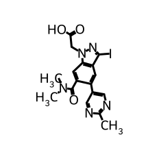 Cc1ncc(-c2cc3c(I)nn(CC(=O)O)c3cc2C(=O)N(C)C)cn1